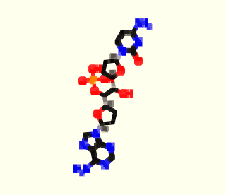 Nc1ccn([C@H]2CC[C@@H](C(O)C(OP(=O)(O)O)[C@@H]3CC[C@H](n4cnc5c(N)ncnc54)O3)O2)c(=O)n1